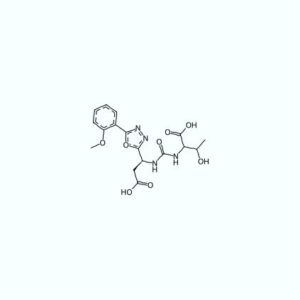 COc1ccccc1-c1nnc([C@H](CC(=O)O)NC(=O)NC(C(=O)O)C(C)O)o1